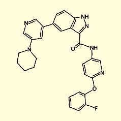 O=C(Nc1ccc(Oc2ccccc2F)nc1)c1n[nH]c2ccc(-c3cncc(N4CCCCC4)c3)cc12